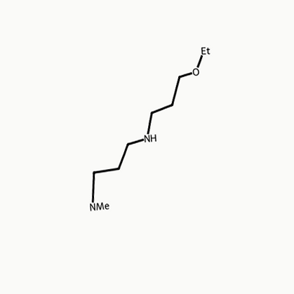 CCOCCCNCCCNC